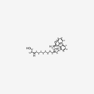 CC(CO)NCCCCCCCCN1CC[C@@H](C(C(N)=O)(c2ccccc2)c2ccccc2)C1